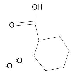 O=C(O)C1CCCCC1.[O].[O]